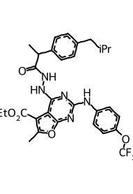 CCOC(=O)c1c(C)oc2nc(Nc3ccc(OC(F)(F)F)cc3)nc(NNC(=O)C(C)c3ccc(CC(C)C)cc3)c12